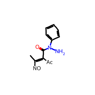 CC(=O)/C(C(=O)N(N)c1ccccc1)=C(/C)N=O